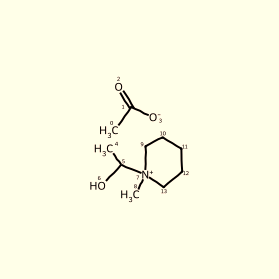 CC(=O)[O-].CC(O)[N+]1(C)CCCCC1